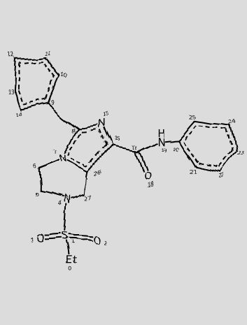 CCS(=O)(=O)N1CCn2c(-c3ccccc3)nc(C(=O)Nc3ccccc3)c2C1